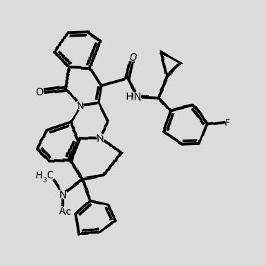 CC(=O)N(C)C1(c2ccccc2)CCN(Cc2c(C(=O)NC(c3cccc(F)c3)C3CC3)c3ccccc3c(=O)n2-c2ccccc2)CC1